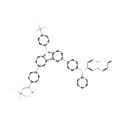 C=C/C=C\C(C)/C=C(\C=C/CC)N(c1ccccc1)c1ccc(-c2ccc3c(c2)c2cc(-c4ccc(C(CC(C)(C)C)C(C)(C)C)cc4)ccc2n3-c2ccc(C(C)(C)C)cc2)cc1